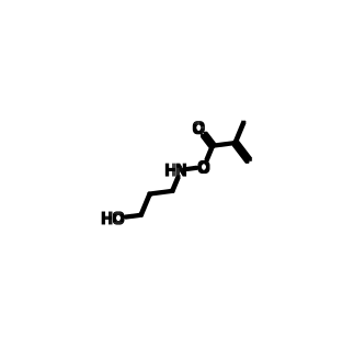 C=C(C)C(=O)ONCCCO